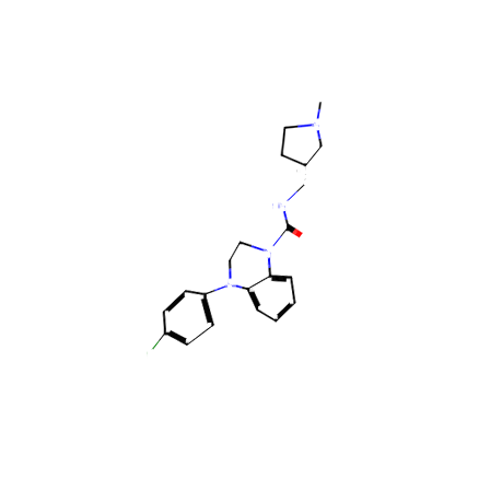 CN1CC[C@@H](CNC(=O)N2CCN(c3ccc(F)cc3)c3ccccc32)C1